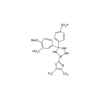 COc1ccc(C2(c3ccc(S(=O)(=O)O)cc3)NNN(c3nc(C)c(C)s3)N2)cc1C(=O)O